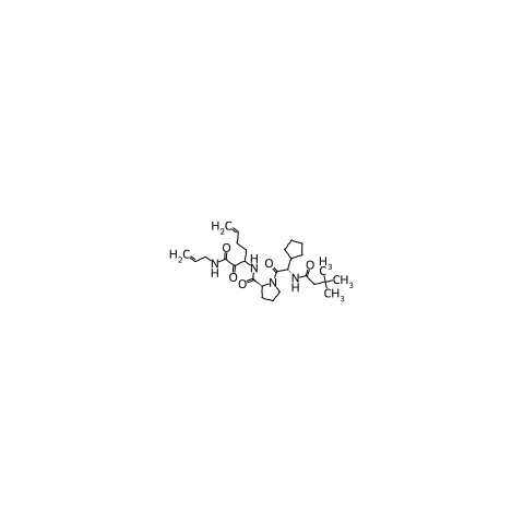 C=CCCC(NC(=O)[C@@H]1CCCN1C(=O)[C@@H](NC(=O)CC(C)(C)C)C1CCCC1)C(=O)C(=O)NCC=C